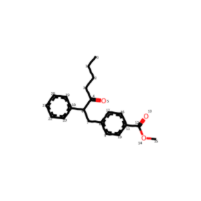 CCCCC(=O)C(Cc1ccc(C(=O)OC)cc1)c1ccccc1